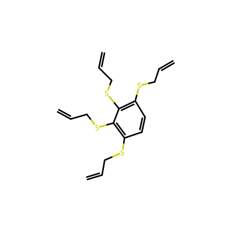 C=CCSc1ccc(SCC=C)c(SCC=C)c1SCC=C